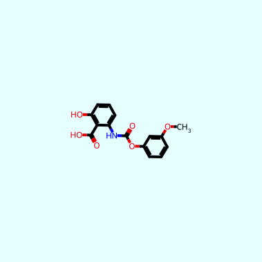 COc1cccc(OC(=O)Nc2cccc(O)c2C(=O)O)c1